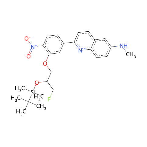 CNc1ccc2nc(-c3ccc([N+](=O)[O-])c(OCC(CF)O[Si](C)(C)C(C)(C)C)c3)ccc2c1